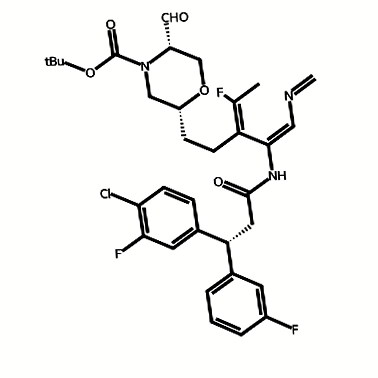 C=N/C=C(NC(=O)C[C@H](c1cccc(F)c1)c1ccc(Cl)c(F)c1)\C(CC[C@@H]1CN(C(=O)OC(C)(C)C)[C@H](C=O)CO1)=C(/C)F